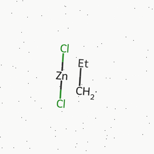 [CH2]CC.[Cl][Zn][Cl]